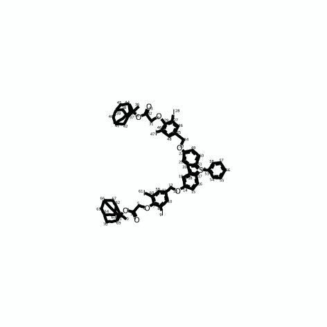 CC1(OC(=O)COc2c(I)cc(COc3ccc4c(c3)c3cc(OCc5cc(I)c(OCC(=O)OC6(C)C7CC8CC(C7)CC6C8)c(I)c5)ccc3[s+]4-c3ccccc3)cc2I)C2CC3CC(C2)CC1C3